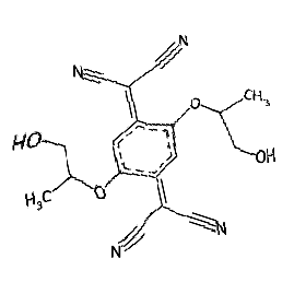 CC(CO)Oc1cc(=C(C#N)C#N)c(OC(C)CO)cc1=C(C#N)C#N